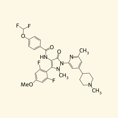 COc1cc(F)c(-c2c(NC(=O)c3ccc(OC(F)F)cc3)c(=O)n(-c3cc(C4CCN(C)CC4)cc(C)n3)n2C)c(F)c1